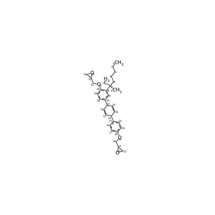 CCCCCC(C)(C)c1cc(C2C=CC(c3ccc(OCC4CO4)cc3)C=C2)ccc1OCC1CO1